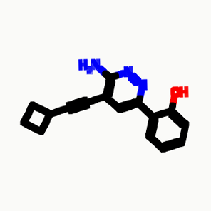 Nc1nnc(-c2ccccc2O)cc1C#CC1CCC1